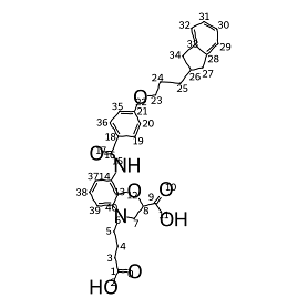 O=C(O)CCCN1CC(C(=O)O)Oc2c(NC(=O)c3ccc(OCCCC4Cc5ccccc5C4)cc3)cccc21